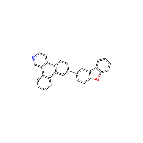 c1ccc2c(c1)oc1ccc(-c3ccc4c5ccncc5c5ccccc5c4c3)cc12